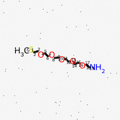 CSCCOCCOCCOCCOCCOCCN